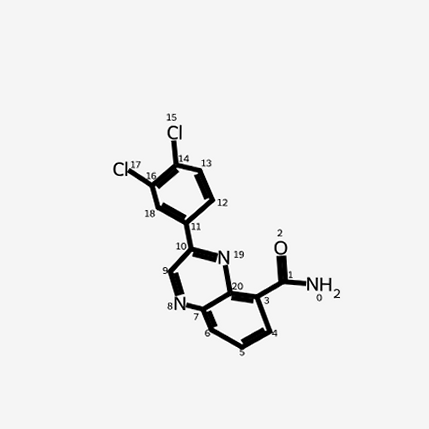 NC(=O)c1cccc2ncc(-c3ccc(Cl)c(Cl)c3)nc12